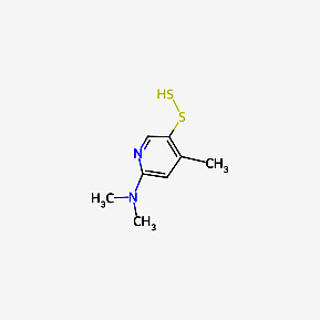 Cc1cc(N(C)C)ncc1SS